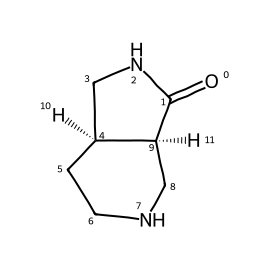 O=C1NC[C@@H]2CCNC[C@H]12